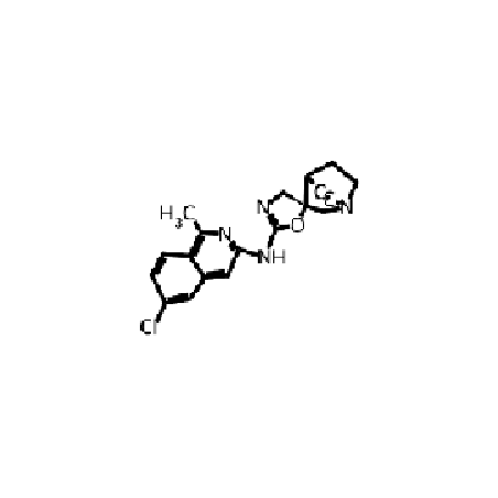 Cc1nc(NC2=NC[C@@]3(CN4CCC3CC4)O2)cc2cc(Cl)ccc12